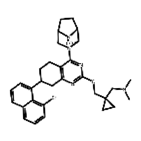 CN(C)CC1(COc2nc3c(c(N4CC5CCC(C4)N5C(=O)O)n2)CCC(c2cccc4cccc(Br)c24)C3)CC1